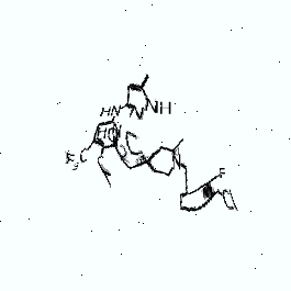 Cc1cc(Nc2cc(C(F)(F)F)c(F)c(C[C@@]3(C(=O)O)CCN(Cc4cccc(Cl)c4F)[C@H](C)C3)n2)n[nH]1